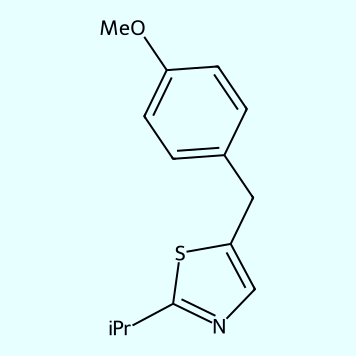 COc1ccc(Cc2cnc(C(C)C)s2)cc1